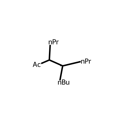 CCCC[C](CCC)C(CCC)C(C)=O